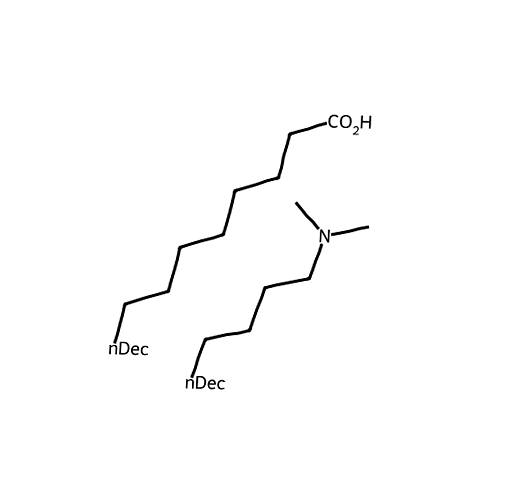 CCCCCCCCCCCCCCCCCC(=O)O.CCCCCCCCCCCCCCN(C)C